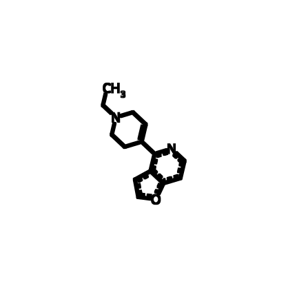 CCN1CC=C(c2nccc3occc23)CC1